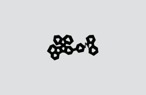 c1ccc(C2(c3ccccc3)C3=C(c4ccc(-c5ccc(-n6c7ccccc7c7ccccc76)cc5)cc42)c2cccc4cccc3c24)cc1